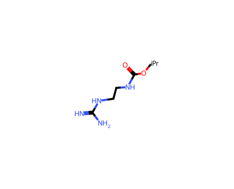 CC(C)OC(=O)NCCNC(=N)N